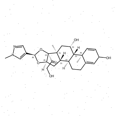 Cn1cc([C@@H]2O[C@@H]3C[C@H]4[C@@H]5CCC6=CC(O)C=C[C@]6(C)[C@H]5[C@@H](O)C[C@]4(C)[C@]3(C(=O)CO)O2)cn1